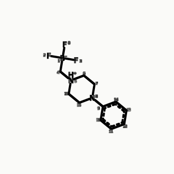 F[B-](F)(F)C[NH+]1CCN(c2ccccc2)CC1